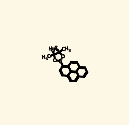 CC1(C)OB(c2ccc3ccc4cccc5ccc2c3c45)OC1(C)C